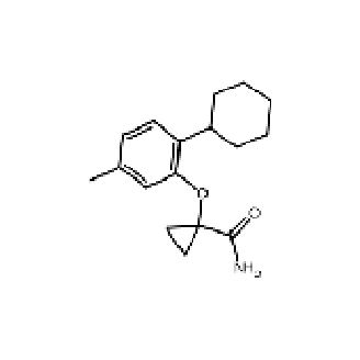 Cc1ccc(C2CCCCC2)c(OC2(C(N)=O)CC2)c1